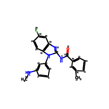 CNc1cccc(-n2c(NC(=O)c3cccc(C)c3)nc3cc(F)ccc32)c1